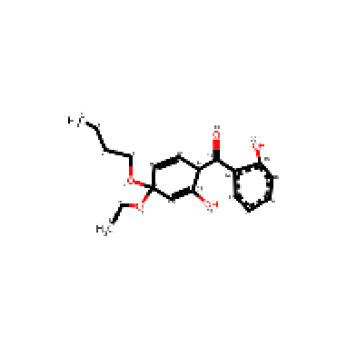 CCCCOC1(OCC)C=CC(C(=O)c2ccccc2O)C(O)=C1